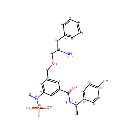 C[C@@H](NC(=O)c1cc(COCC(N)Cc2ccccc2)cc(N(C)S(C)(=O)=O)c1)c1ccc(F)cc1